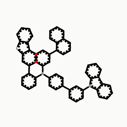 c1cc(-c2cccc3ccccc23)cc(N(c2ccc(-c3cccc(-n4c5ccccc5c5ccccc54)c3)cc2)c2ccccc2-c2ccc3c(c2)sc2ccccc23)c1